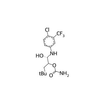 CC(C)(C)CC(OC(N)=O)[C@H](O)Nc1ccc(Cl)c(C(F)(F)F)c1